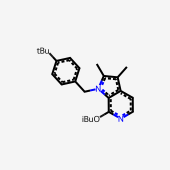 Cc1c(C)n(Cc2ccc(C(C)(C)C)cc2)c2c(OCC(C)C)nccc12